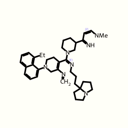 C=NC1=C(/C(=N\CCCC23CCCN2CCC3)N2CCCC(C(=N)/C=C\NC)C2)CCN(c2cccc3cccc(CC)c23)C1